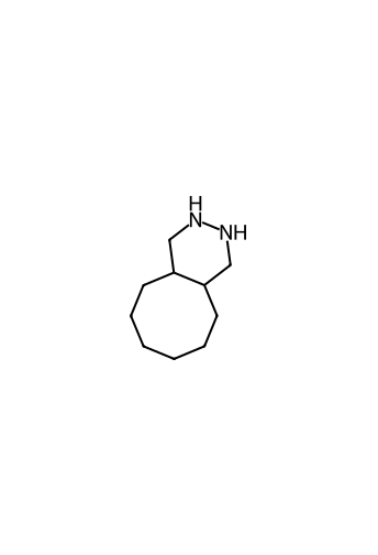 C1CCCC2CNNCC2CC1